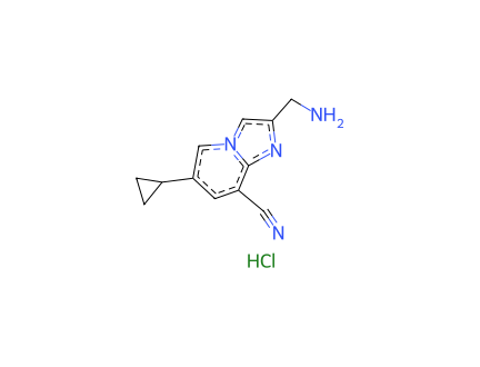 Cl.N#Cc1cc(C2CC2)cn2cc(CN)nc12